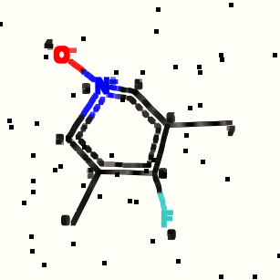 Cc1c[n+]([O-])cc(C)c1F